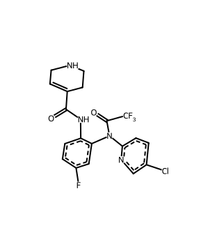 O=C(Nc1ccc(F)cc1N(C(=O)C(F)(F)F)c1ccc(Cl)cn1)C1=CCNCC1